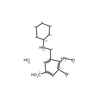 CCNc1c(Br)cc(C(=O)O)cc1CNC1CCCCC1.Cl